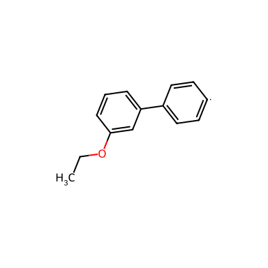 CCOc1cccc(-c2cc[c]cc2)c1